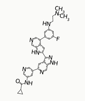 CN(C)CCNc1cc(F)cc(-c2cncc3[nH]c(-c4n[nH]c5cnc(-c6cncc(NC(=O)C7CC7)c6)cc45)cc23)c1